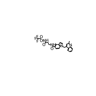 Cc1cc(Cn2ccc3cc(C(=O)NCCC(=O)NOC(=O)C(F)(F)F)ccc32)c2ccccc2n1